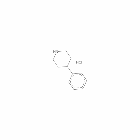 Cl.c1ccc(C2CCNCC2)cc1